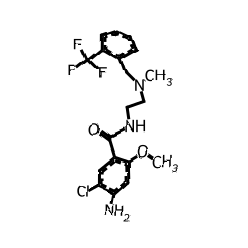 COc1cc(N)c(Cl)cc1C(=O)NCCN(C)Cc1ccccc1C(F)(F)F